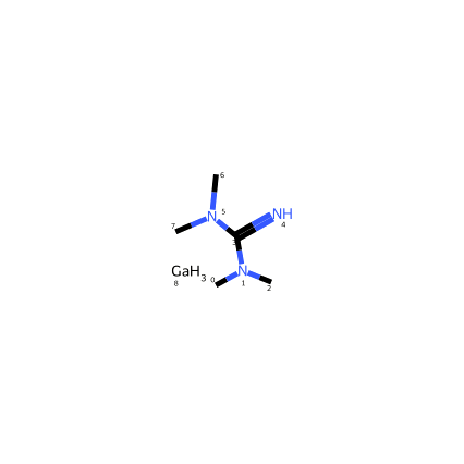 CN(C)C(=N)N(C)C.[GaH3]